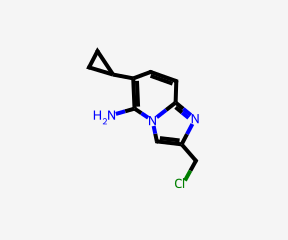 Nc1c(C2CC2)ccc2nc(CCl)cn12